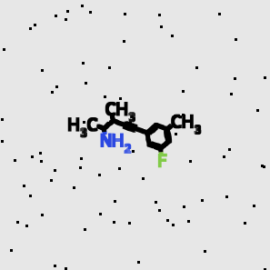 Cc1cc(F)cc(C#CC(C)C(C)N)c1